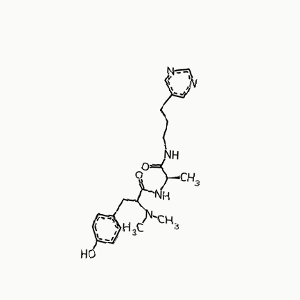 C[C@@H](NC(=O)C(Cc1ccc(O)cc1)N(C)C)C(=O)NCCCc1cncnc1